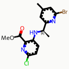 COC(=O)c1nc(Cl)ccc1N[C@H](C)c1cc(C)cc(Br)n1